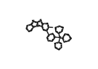 Cc1cc2sc3nc4ccccc4n3c2cc1-c1cccc([Si](c2ccccc2)(c2ccccc2)c2ccccc2)c1